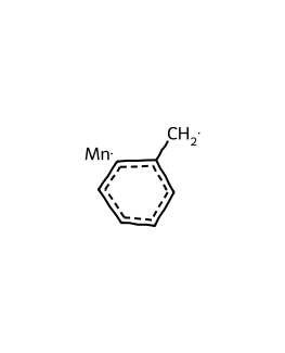 [CH2]c1ccccc1.[Mn]